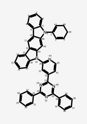 C1=CC(n2c3ccccc3c3cc4c5ccccc5n(-c5cc(-c6nc(-c7ccccc7)nc(-c7ccccc7)n6)ccn5)c4cc32)=CCC1